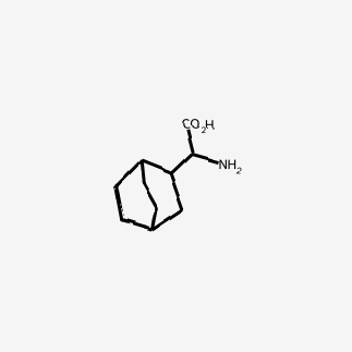 NC(C(=O)O)C1CC2CCC1CC2